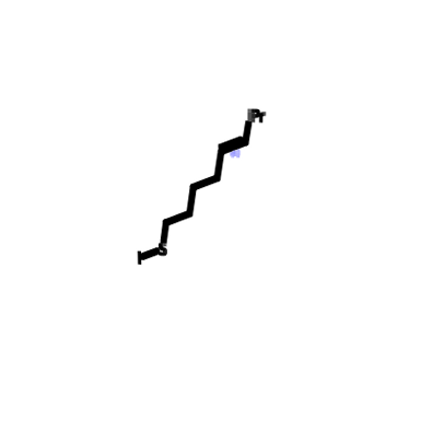 CC(C)/C=C/CCCCSI